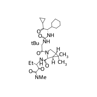 CCC(NC(=O)[C@@H]1[C@@H]2[C@H](CN1C(=O)[C@@H](NC(=O)N[C@H](C(=O)C1CC1)C1CCCCC1)C(C)(C)C)C2(C)C)C(=O)C(=O)NC